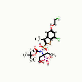 CCC(CC)(N(C(=O)OC(C)(C)C)S(=O)(=O)c1sc2c(Cl)cc(OCCCl)cc2c1C)P(=O)(O)O